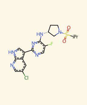 CC(C)S(=O)(=O)N1CC[C@@H](Nc2nc(-c3c[nH]c4ncc(Cl)cc34)ncc2F)C1